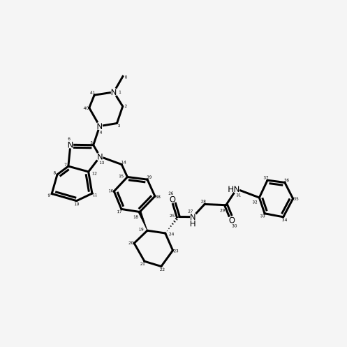 CN1CCN(c2nc3ccccc3n2Cc2ccc([C@@H]3CCCC[C@H]3C(=O)NCC(=O)Nc3ccccc3)cc2)CC1